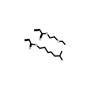 C=CC(=O)OCCCCCC(C)C.C=CC(=O)OCCOCC